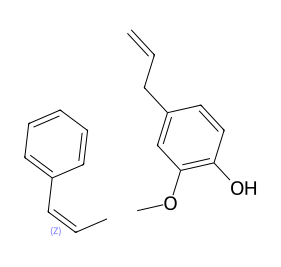 C/C=C\c1ccccc1.C=CCc1ccc(O)c(OC)c1